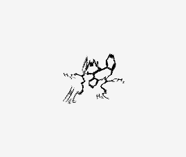 CCCCC(CC)n1nnc2c1-c1ccccc1N(C(C)CCC)Cc1ccccc1-2